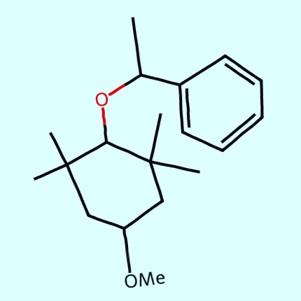 COC1CC(C)(C)C(OC(C)c2ccccc2)C(C)(C)C1